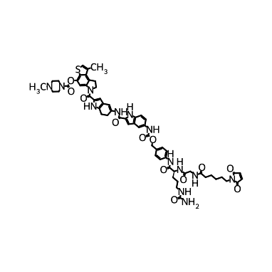 Cc1csc2c(OC(=O)N3CCN(C)CC3)cc3c(c12)CCN3C(=O)c1cc2c([nH]1)CCC(NC(=O)c1cc3cc(NC(=O)OCc4ccc(NC(=O)[C@H](CCCNC(N)=O)NC(=O)CNC(=O)CCCCCN5C(=O)C=CC5=O)cc4)ccc3[nH]1)=C2